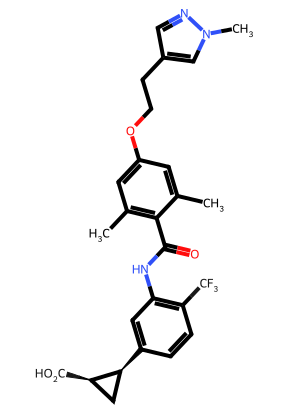 Cc1cc(OCCc2cnn(C)c2)cc(C)c1C(=O)Nc1cc([C@H]2C[C@H]2C(=O)O)ccc1C(F)(F)F